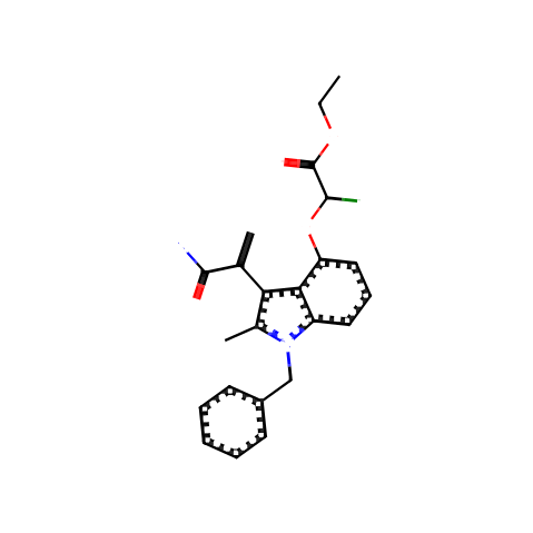 C=C(C(N)=O)c1c(C)n(Cc2ccccc2)c2cccc(OC(F)C(=O)OCC)c12